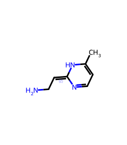 CC1=CC=N/C(=C\CN)N1